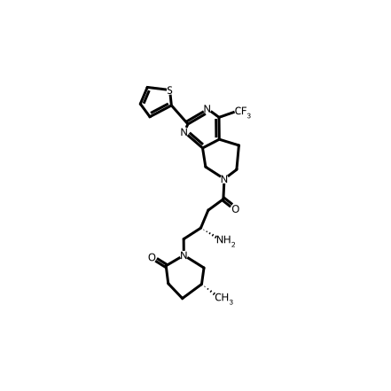 C[C@@H]1CCC(=O)N(C[C@@H](N)CC(=O)N2CCc3c(nc(-c4cccs4)nc3C(F)(F)F)C2)C1